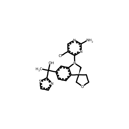 CC(O)(c1ccc2c(c1)N(c1nc(N)ncc1Cl)C[C@]21CCOC1)c1nccs1